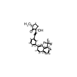 CN1CC[C@@](O)(C#Cc2cccc(-c3ccc4ncnc(C(F)(F)F)c4n3)c2)C1=O